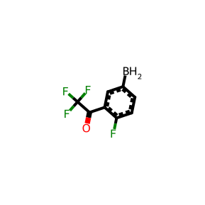 Bc1ccc(F)c(C(=O)C(F)(F)F)c1